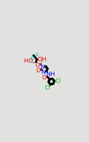 C[C@@H](O[C@H](CO)[C@@H](O)C(C)(F)F)n1ccc(NC(=O)c2cc(Cl)cc(Cl)c2)nc1=O